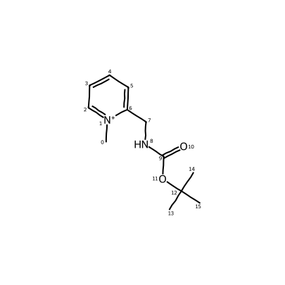 C[n+]1ccccc1CNC(=O)OC(C)(C)C